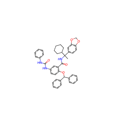 CC(NC(=O)c1cc(NC(=O)Nc2ccccc2)ccc1OC(c1ccccc1)c1ccccc1)(c1ccc2c(c1)OCO2)C1CCCCC1